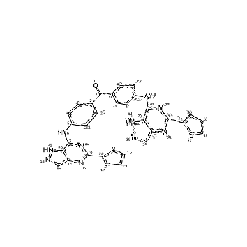 O=C(c1ccc(Nc2nc(-c3cccs3)nc3cn[nH]c23)cc1)c1ccc(Nc2nc(-c3cccs3)nc3cn[nH]c23)cc1